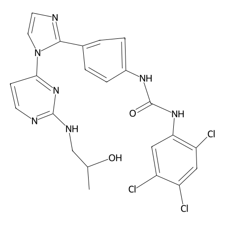 CC(O)CNc1nccc(-n2ccnc2-c2ccc(NC(=O)Nc3cc(Cl)c(Cl)cc3Cl)cc2)n1